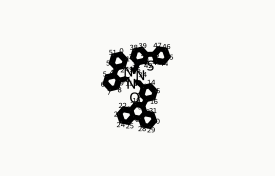 c1ccc(-c2ccccc2-c2nc(-c3cccc4c3oc3c5ccccc5c5ccccc5c43)nc(-c3cccc4c3sc3ccccc34)n2)cc1